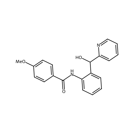 COc1ccc(C(=O)Nc2ccccc2C(O)c2ccccn2)cc1